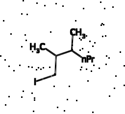 CCCC(C)C(C)CI